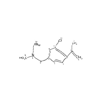 C=C(C)c1ccc(CN(C(=O)O)C(C)(C)C)cc1Cl